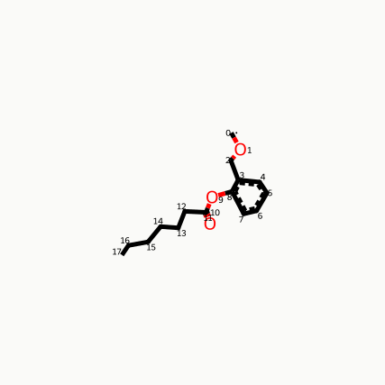 [CH2]OCc1ccccc1OC(=O)CCCCCC